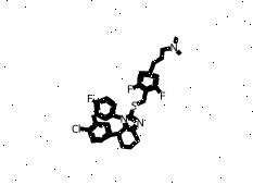 Cc1cc(C2CCCc3nc(SCc4c(F)cc(CCCN(C)C)cc4F)n(-c4ccc(F)cc4)c32)ccc1Cl